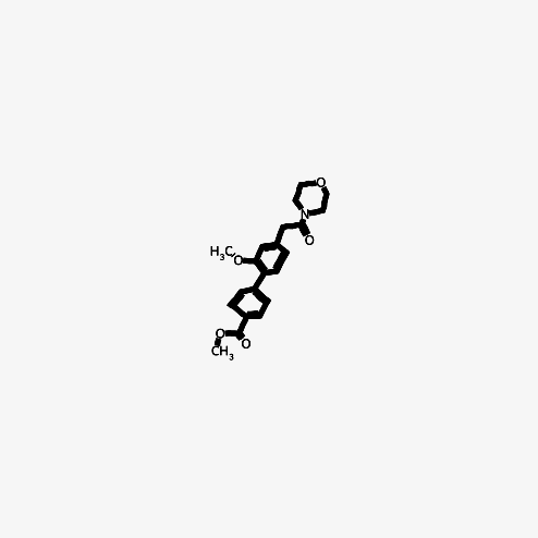 COC(=O)c1ccc(-c2ccc(CC(=O)N3CCOCC3)cc2OC)cc1